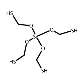 SCO[Si](OCS)(OCS)OCS